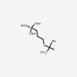 CO[Si](CCCSC(C)(C(=O)O)C(C)(C)C)(OC)OC